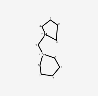 [CH](N1CCCCC1)N1CCCC1